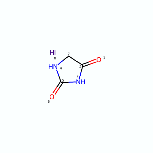 I.O=C1CNC(=O)N1